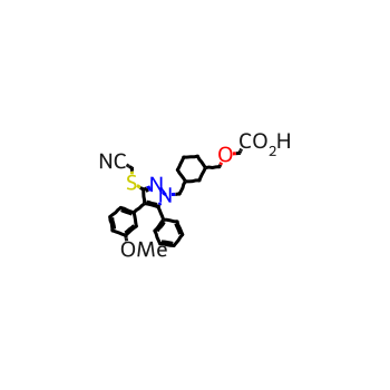 COc1cccc(-c2c(SCC#N)nn(CC3CCCC(COCC(=O)O)C3)c2-c2ccccc2)c1